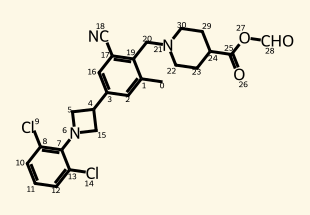 Cc1cc(C2CN(c3c(Cl)cccc3Cl)C2)cc(C#N)c1CN1CCC(C(=O)OC=O)CC1